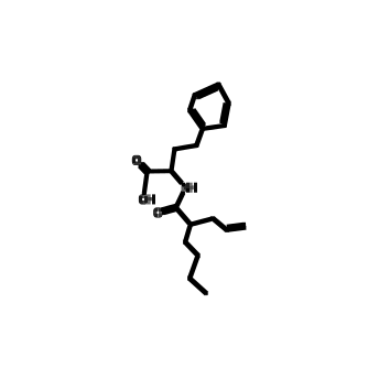 C=CCC(CCCC)C(=O)NC(CCc1ccccc1)C(=O)O